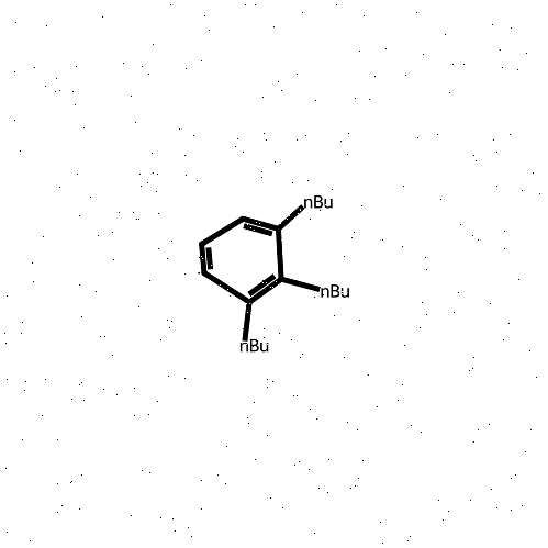 CCCCc1[c]ccc(CCCC)c1CCCC